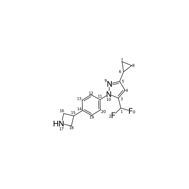 FC(F)c1cc(C2CC2)nn1-c1ccc(C2CNC2)cc1